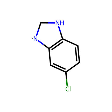 Clc1ccc2c(c1)[N]CN2